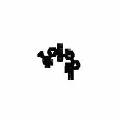 O=C(Nc1cccc(-c2nncn2C2CC2)c1)c1cc(-c2cccc3[nH]nnc23)ccn1